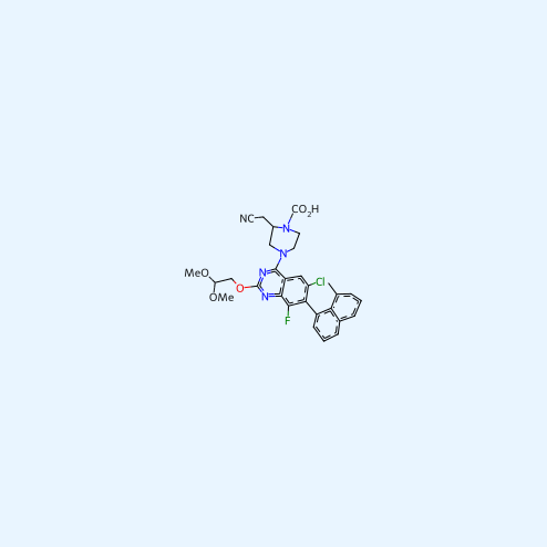 COC(COc1nc(N2CCN(C(=O)O)C(CC#N)C2)c2cc(Cl)c(-c3cccc4cccc(C)c34)c(F)c2n1)OC